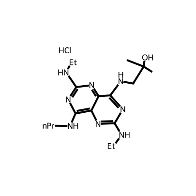 CCCNc1nc(NCC)nc2c(NCC(C)(C)O)nc(NCC)nc12.Cl